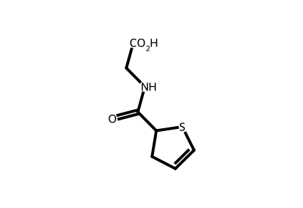 O=C(O)CNC(=O)C1CC=CS1